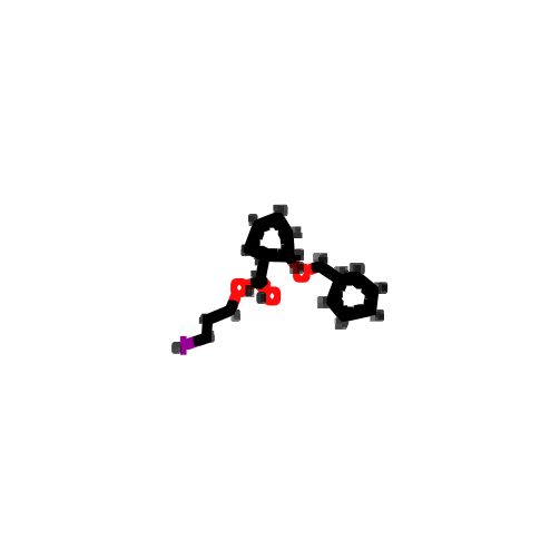 O=C(OCCCI)c1ccccc1OCc1ccccc1